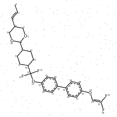 C/C=C/C1COC(C2CCC(C(F)(F)Oc3ccc(-c4ccc(OC=C(F)F)cc4)cc3)CC2)OC1